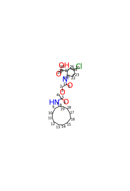 O=C(COCC(=O)NC1CCCCCCCCCCC1)/N=C1\C=CC(Cl)=CC1C(=O)O